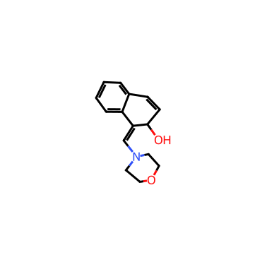 OC1C=Cc2ccccc2C1=CN1CCOCC1